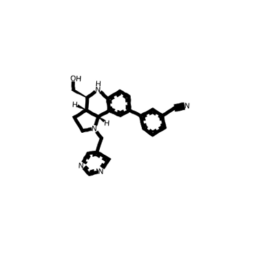 N#Cc1cccc(-c2ccc3c(c2)[C@H]2[C@H](CCN2Cc2cncnc2)[C@@H](CO)N3)c1